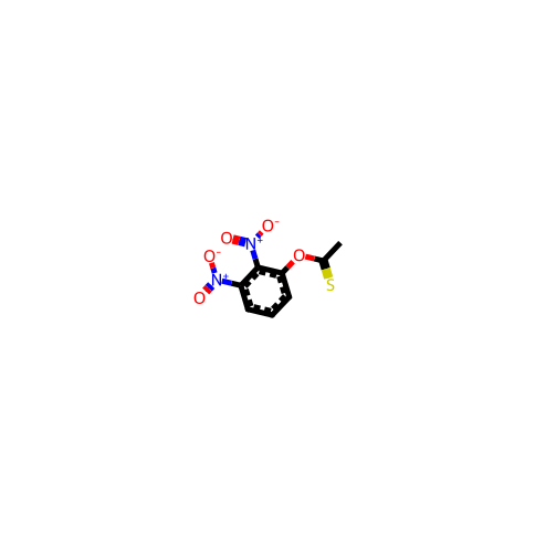 CC(=S)Oc1cccc([N+](=O)[O-])c1[N+](=O)[O-]